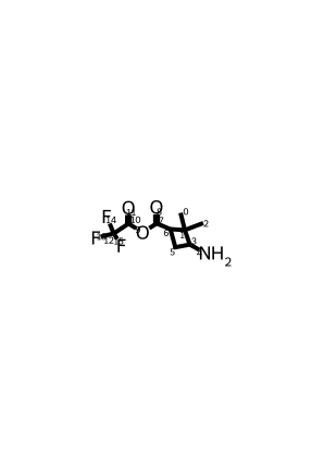 CC1(C)C(N)CC1C(=O)OC(=O)C(F)(F)F